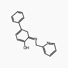 OC1=CC=C(c2ccccc2)CC1=NCc1ccccn1